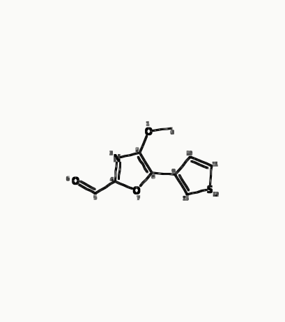 COc1nc(C=O)oc1-c1ccsc1